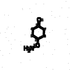 NOC1CCC(=O)CC1